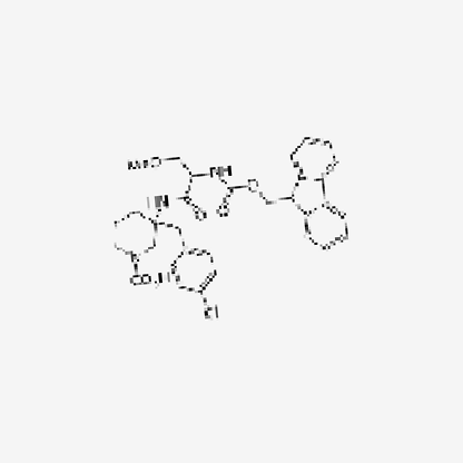 COCC(NC(=O)OCC1c2ccccc2-c2ccccc21)C(=O)NC1(Cc2ccc(Cl)cc2)CCCN(C(=O)O)C1